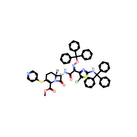 COC(=O)C1=C(Sc2ccncc2)CC[C@@H]2[C@H](NC(=O)C(=NOC(c3ccccc3)(c3ccccc3)c3ccccc3)c3nc(NC(c4ccccc4)(c4ccccc4)c4ccccc4)sc3Cl)C(=O)N12